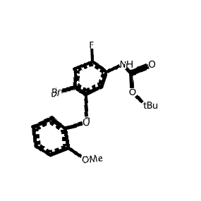 COc1ccccc1Oc1cc(NC(=O)OC(C)(C)C)c(F)cc1Br